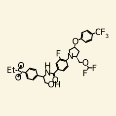 CCS(=O)(=O)c1ccc(C(CO)NC(=O)c2ccc(N3C[C@@H](Oc4ccc(C(F)(F)F)cc4)C[C@H]3COC(F)F)c(F)c2)cc1